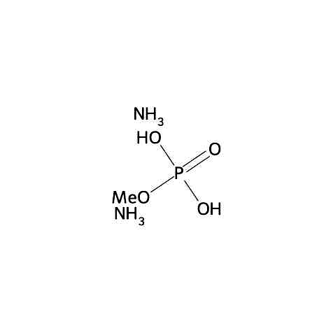 COP(=O)(O)O.N.N